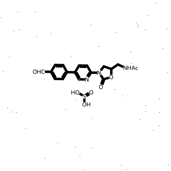 CC(=O)NCC1CN(c2ccc(-c3ccc(C=O)cc3)cn2)C(=O)O1.O=S(O)O